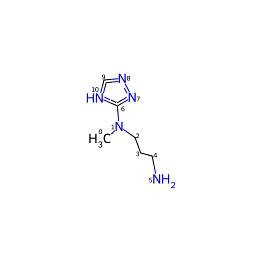 CN(CCCN)c1nnc[nH]1